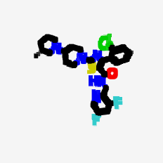 C[C@@H]1CCCN(C2CCN(c3nc(-c4ccccc4Cl)c(C(=O)NCc4ncc(F)cc4F)s3)CC2)C1